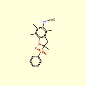 Cc1c(C)c2c(c(C)c1NC=O)CC(C)(S(=O)(=O)c1ccccc1)O2